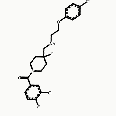 O=C(c1ccc(F)c(Cl)c1)N1CCC(F)(CNCCOc2ccc(Cl)cc2)CC1